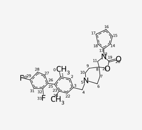 Cc1cc(CN2CCC3(CC2)CN(c2ccccc2)C(=O)O3)cc(C)c1-c1ccc(F)cc1F